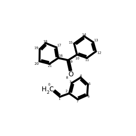 C=Cc1ccccc1.O=C(c1ccccc1)c1ccccc1